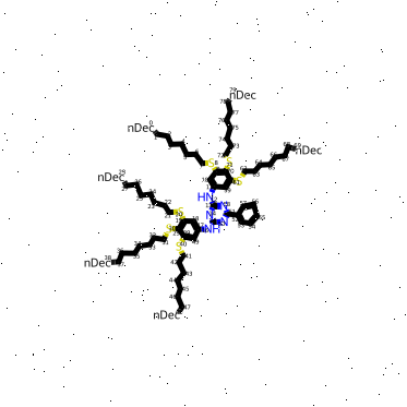 CCCCCCCCCCCCCCCCCSc1cc(Nc2nc(Nc3cc(SCCCCCCCCCCCCCCCCC)c(SCCCCCCCCCCCCCCCCC)c(SCCCCCCCCCCCCCCCCC)c3)nc(-c3cc[c]cc3)n2)cc(SCCCCCCCCCCCCCCCCC)c1SCCCCCCCCCCCCCCCCC